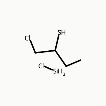 CCC(S)CCl.[SiH3]Cl